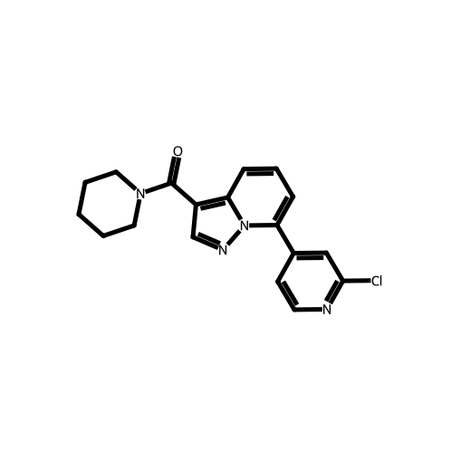 O=C(c1cnn2c(-c3ccnc(Cl)c3)cccc12)N1CCCCC1